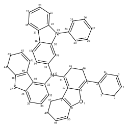 C1=CCCC(C2=c3oc4c(c3=C(N(c3ccc5c6ccccc6n(-c6ccccc6)c5c3)c3cccc5sc6c(c35)C=CCC6)CC2)CCC=C4)=C1